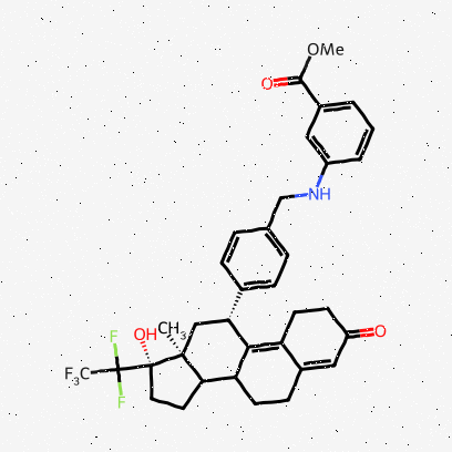 COC(=O)c1cccc(NCc2ccc([C@H]3C[C@@]4(C)C(CC[C@@]4(O)C(F)(F)C(F)(F)F)C4CCC5=CC(=O)CCC5=C43)cc2)c1